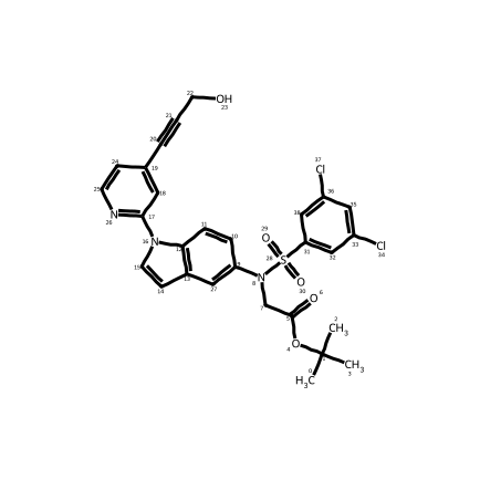 CC(C)(C)OC(=O)CN(c1ccc2c(ccn2-c2cc(C#CCO)ccn2)c1)S(=O)(=O)c1cc(Cl)cc(Cl)c1